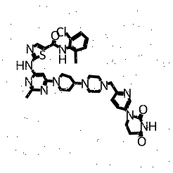 Cc1nc(Nc2ncc(C(=O)Nc3c(C)cccc3Cl)s2)cc(N2CCC(N3CCN(Cc4ccc(N5CCC(=O)NC5=O)cn4)CC3)CC2)n1